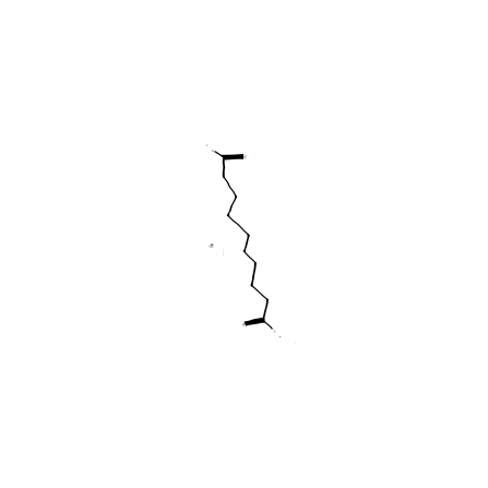 C=C.NC(=O)CCCCCCCCC(N)=O